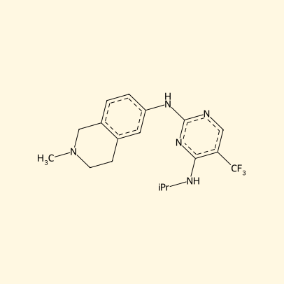 CC(C)Nc1nc(Nc2ccc3c(c2)CCN(C)C3)ncc1C(F)(F)F